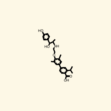 Cc1cc(-c2ccc(C(=O)O)c(C(C)C)c2)cc(C)c1OCCNC(C)C(O)c1ccc(O)cc1